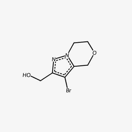 OCc1nn2c(c1Br)COCC2